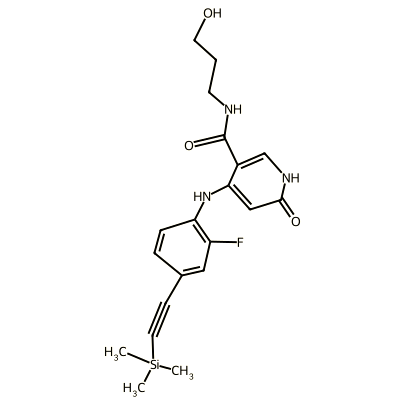 C[Si](C)(C)C#Cc1ccc(Nc2cc(=O)[nH]cc2C(=O)NCCCO)c(F)c1